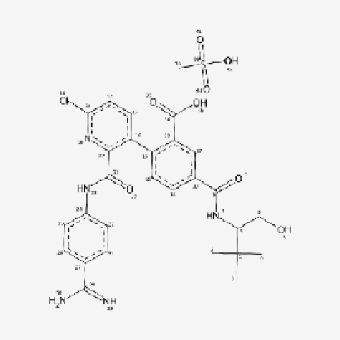 CC(C)(C)C(CO)NC(=O)c1ccc(-c2ccc(Cl)nc2C(=O)Nc2ccc(C(=N)N)cc2)c(C(=O)O)c1.CS(=O)(=O)O